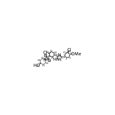 COc1ccc(-c2c[nH]c(-c3ccc(Cl)c(S(=O)(=O)N4CCC(O)CC4)c3)n2)cc1Cl